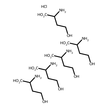 Cl.NC(CCO)C(=O)O.NC(CCO)C(=O)O.NC(CCO)C(=O)O.NC(CCO)C(=O)O.NC(CCO)C(=O)O